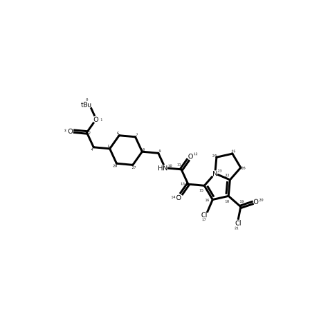 CC(C)(C)OC(=O)CC1CCC(CNC(=O)C(=O)c2c(Cl)c(C(=O)Cl)c3n2CCC3)CC1